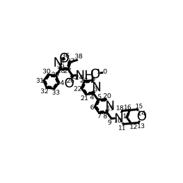 COc1nc(-c2ccc(CN3CC4COCC(C4)C3)nc2)ccc1NC(=O)c1c(-c2ccccc2)noc1C